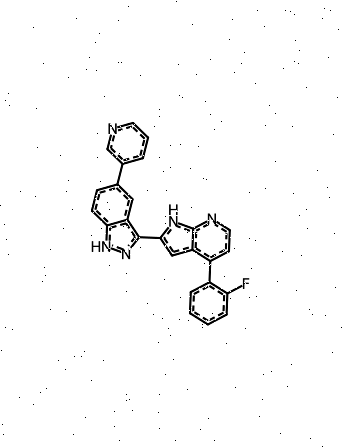 Fc1ccccc1-c1ccnc2[nH]c(-c3n[nH]c4ccc(-c5cccnc5)cc34)cc12